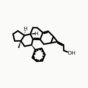 C[C@@]12CCC[C@H]1[C@@H]1CCC3=CC4C(=CCO)C4CC3=C1[C@@H](c1ccccc1)C2